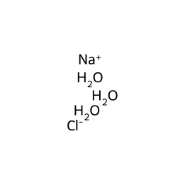 O.O.O.[Cl-].[Na+]